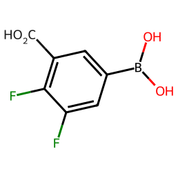 O=C(O)c1cc(B(O)O)cc(F)c1F